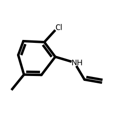 C=CNc1cc(C)ccc1Cl